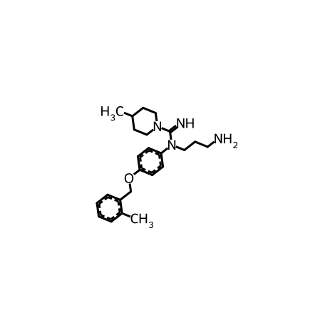 Cc1ccccc1COc1ccc(N(CCCN)C(=N)N2CCC(C)CC2)cc1